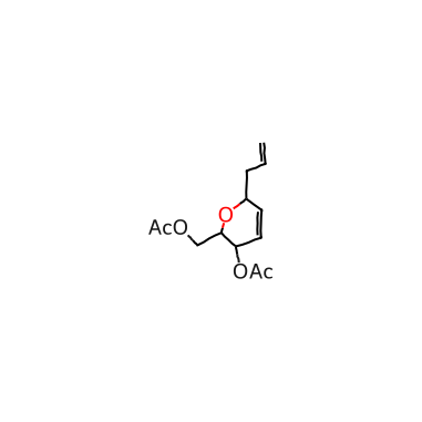 C=CCC1C=CC(OC(C)=O)C(COC(C)=O)O1